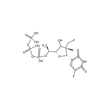 C[C@H](OP(=O)(O)OP(=O)(O)OP(=O)(O)O)[C@H]1O[C@@H](n2cc(F)c(=O)[nH]c2=O)[C@@](F)(CF)C1O